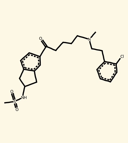 CN(CCCCC(=O)c1ccc2c(c1)CC(NS(C)(=O)=O)C2)CCc1ccccc1Cl